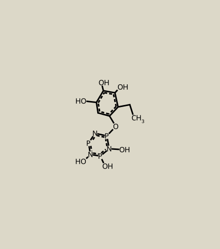 CCc1c(Op2npn(O)p(O)n2O)cc(O)c(O)c1O